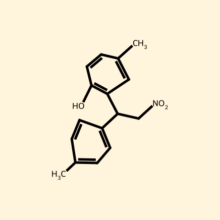 Cc1ccc(C(C[N+](=O)[O-])c2cc(C)ccc2O)cc1